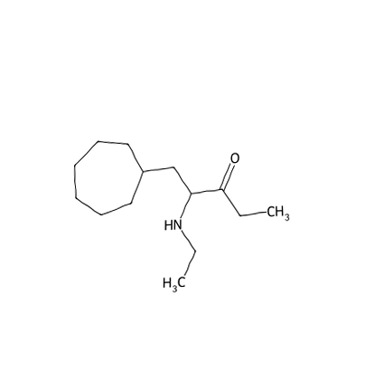 CCNC(CC1CCCCCC1)C(=O)CC